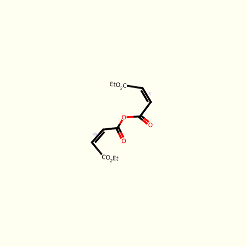 CCOC(=O)/C=C\C(=O)OC(=O)/C=C\C(=O)OCC